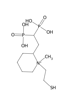 C[N+]1(CCS)CCCCC1CC(P(=O)(O)O)P(=O)(O)O